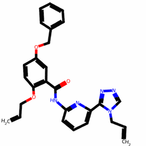 C=CCOc1ccc(OCc2ccccc2)cc1C(=O)Nc1cccc(-c2nncn2CC=C)n1